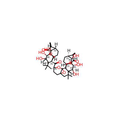 C=C1C(=O)[C@]23[C@H](O)[C@H]1CC[C@H]2[C@@]12CO[C@@]3(O)[C@@H](O)[C@@H]1C(C)(C)C[C@]1(CCC34CC(C)(C)[C@H]5[C@H](O)[C@]6(O)OC[C@@]5([C@@H]5CC[C@H]7C(=C)C(=O)[C@]56[C@@H]7O)C3(O4)O1)C2=O